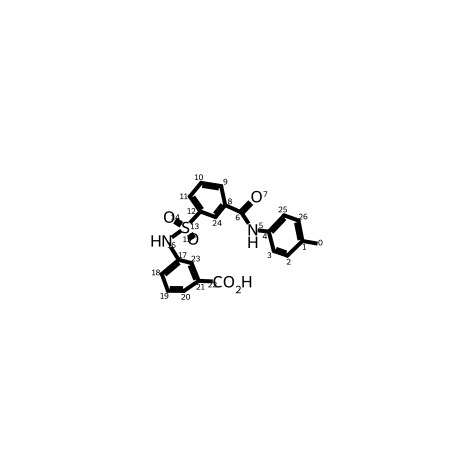 Cc1ccc(NC(=O)c2cccc(S(=O)(=O)Nc3cccc(C(=O)O)c3)c2)cc1